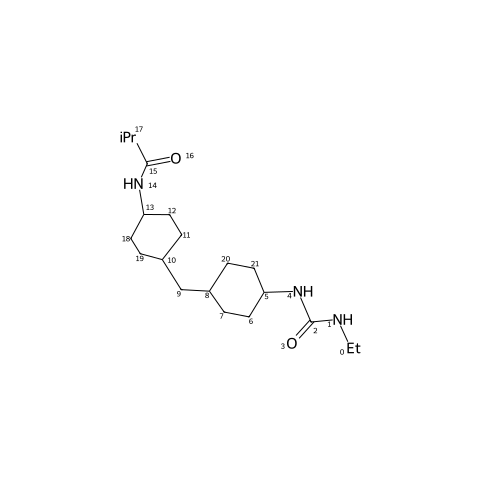 CCNC(=O)NC1CCC(CC2CCC(NC(=O)C(C)C)CC2)CC1